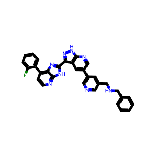 Fc1ccccc1-c1ccnc2[nH]c(-c3n[nH]c4ncc(-c5cncc(CNCc6ccccc6)c5)cc34)nc12